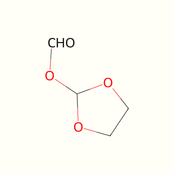 O=COC1OCCO1